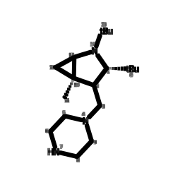 CC(C)(C)[C@@H]1C(CN2CCNCC2)[C@@]2(C)CC2N1C(C)(C)C